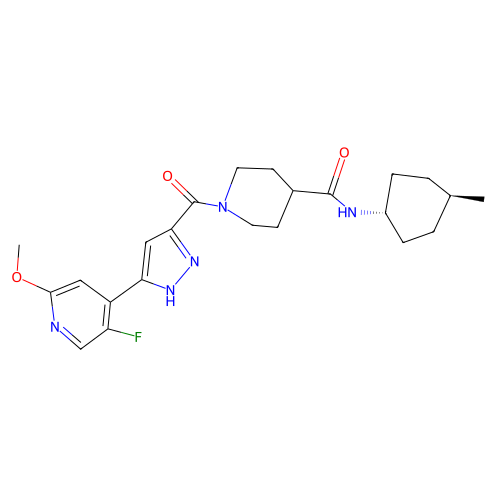 COc1cc(-c2cc(C(=O)N3CCC(C(=O)N[C@H]4CC[C@H](C)CC4)CC3)n[nH]2)c(F)cn1